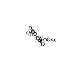 CC(=O)Oc1ccc(-c2nc3cc(-c4ccc5nc(-c6ccccc6)c(-c6ccccc6)nc5c4)ccc3nc2-c2ccccc2)cc1